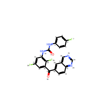 O=C(Nc1ccc(F)cc1)Nc1cc(F)cc(C(=O)c2ccc3ncncc3c2)c1F